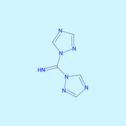 N=C(n1cncn1)n1cncn1